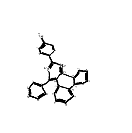 Brc1ccc(-c2nc(-c3ccccc3)c3c4ccccc4c4ccccc4c3n2)cc1